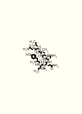 CCCC[C@H](NC(=O)CN(C)C(=O)[C@H](CNC)NC(=O)[C@H](CC(N)=O)NC(=O)[C@H](CCC(N)=O)NC(=O)[C@@H](NC(=O)[C@@H](N)Cc1ccc(O)cc1)[C@@H](C)CC)C(=O)NCC(N)=O